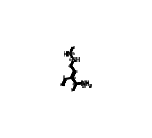 C=C/C(=C\CNNC)C(C)N